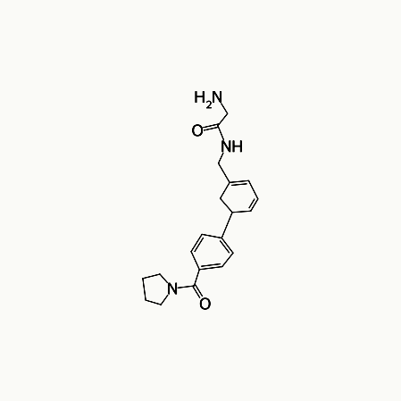 NCC(=O)NCC1=CC=CC(c2ccc(C(=O)N3CCCC3)cc2)C1